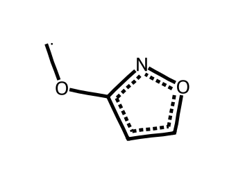 [CH2]Oc1ccon1